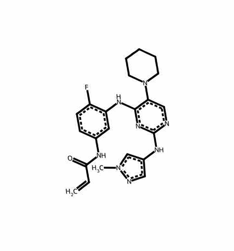 C=CC(=O)Nc1ccc(F)c(Nc2nc(Nc3cnn(C)c3)ncc2N2CCCCC2)c1